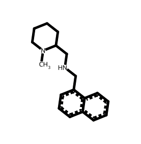 CN1CCCCC1CNCc1cccc2ccccc12